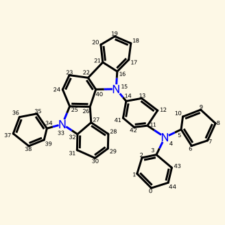 c1ccc(N(c2ccccc2)c2ccc(-n3c4ccccc4c4ccc5c(c6ccccc6n5-c5ccccc5)c43)cc2)cc1